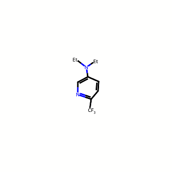 CCN(CC)c1ccc(C(F)(F)F)nc1